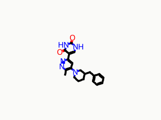 Cc1nnc(-c2c[nH]c(=O)[nH]c2=O)cc1N1CCCC(Cc2ccccc2)C1